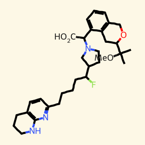 COC(C)(C)C1Cc2c(cccc2C(C(=O)O)N2CCC(C(F)CCCCc3ccc4c(n3)NCCC4)C2)CO1